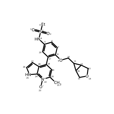 CCS(=O)(=O)Nc1ccc(OCC2C3COCC32)c(-c2cc(C)[n+]([O-])c3[nH]ccc23)c1